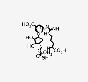 N=C(N)NCCCC(N)C(=O)O.O=C(O)c1ccc[n+]([C@@H]2O[C@H](COP(=O)(O)O)[C@@H](O)[C@H]2O)c1